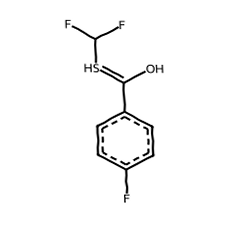 OC(=[SH]C(F)F)c1ccc(F)cc1